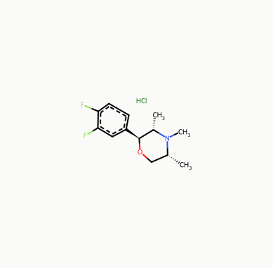 C[C@@H]1CO[C@@H](c2ccc(F)c(F)c2)[C@H](C)N1C.Cl